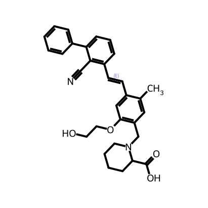 Cc1cc(CN2CCCCC2C(=O)O)c(OCCO)cc1/C=C/c1cccc(-c2ccccc2)c1C#N